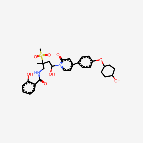 CC(CNC(=O)c1ccccc1O)(CC(O)n1ccc(-c2ccc(OC3CCC(O)CC3)cc2)cc1=O)S(C)(=O)=O